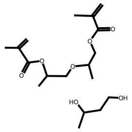 C=C(C)C(=O)OCC(C)OCC(C)OC(=O)C(=C)C.CC(O)CCO